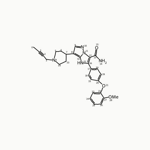 CC#CCN1CCC(c2cnn3c(C(N)=O)c(-c4ccc(Oc5ccccc5OC)cc4)[nH]c23)CC1